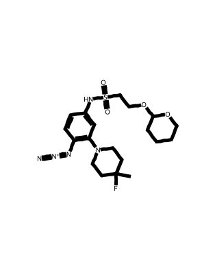 CC1(F)CCN(c2cc(NS(=O)(=O)CCOC3CCCCO3)ccc2N=[N+]=[N-])CC1